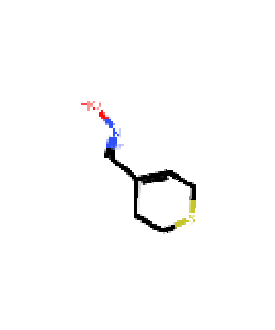 O/N=C/C1=CCSCC1